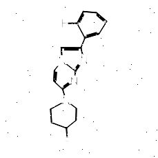 Fc1ccccc1-c1cn2ccc(N3CCC(F)CC3)nc2n1